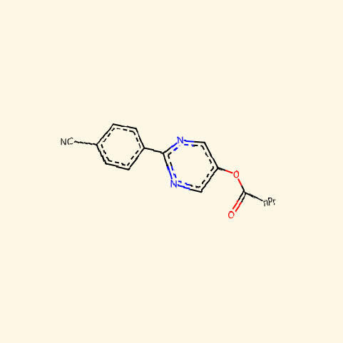 CCCC(=O)Oc1cnc(-c2ccc(C#N)cc2)nc1